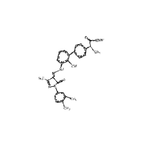 C[N]C(=O)C(C)c1ccc(-c2cccc(NN=C3C(=O)N(c4ccc(C)c(C)c4)N=C3C)c2O)cc1